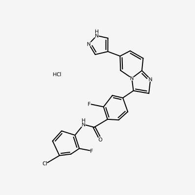 Cl.O=C(Nc1ccc(Cl)cc1F)c1ccc(-c2cnc3ccc(-c4cn[nH]c4)cn23)cc1F